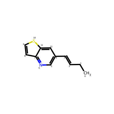 CC/C=C/c1cnc2ccsc2c1